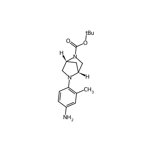 Cc1cc(N)ccc1N1C[C@H]2C[C@@H]1CN2C(=O)OC(C)(C)C